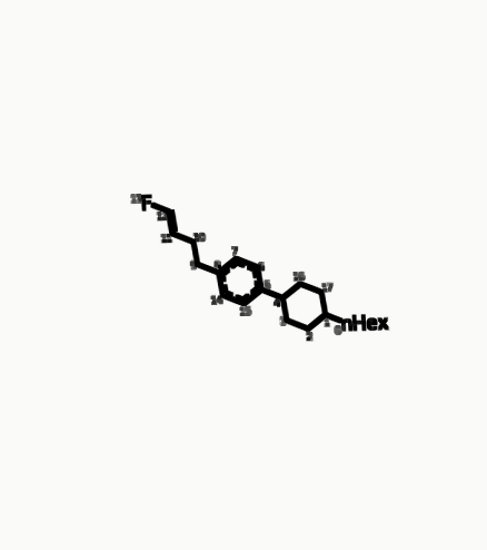 CCCCCCC1CCC(c2ccc(CCC=CF)cc2)CC1